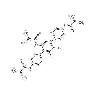 C=C(C)C(=O)Oc1ccc(-c2cc(OC(=O)C(=C)C)c(-c3ccc(OC(=O)C(=C)C)cc3)c(F)c2F)cc1